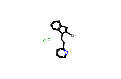 [Cl-].[Cl-].[Cr+2][C]1=Cc2ccccc2C1CCc1ccccn1